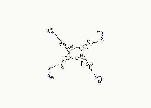 CC/C=C\C/C=C\CCCCC(=O)OCC(O)CN1CCCN(CC(O)COC(=O)CCCC/C=C\C/C=C\CC)CCN(CC(O)COC(=O)CCCC/C=C\C/C=C\CC)CCCN(CC(O)COC(=O)CCCC/C=C\C/C=C\CC)CC1